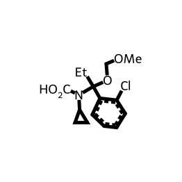 CCC(OCOC)(c1ccccc1Cl)N(C(=O)O)C1CC1